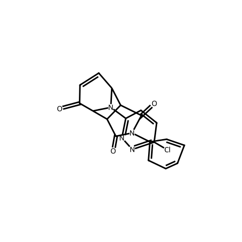 O=C1C=CC2C3C(=O)N(c4ccccc4)C(=O)C3C1N2c1ccc(Cl)nn1